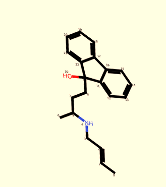 CC=CCNC(C)CCC1(O)c2ccccc2-c2ccccc21